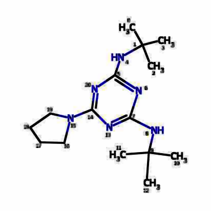 CC(C)(C)Nc1nc(NC(C)(C)C)nc(N2CCCC2)n1